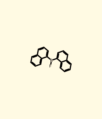 FB(c1cccc2ccccc12)c1cccc2ccccc12